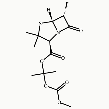 COC(=O)OC(C)(C)OC(=O)[C@@H]1N2C(=O)[C@@H](F)[C@H]2SC1(C)C